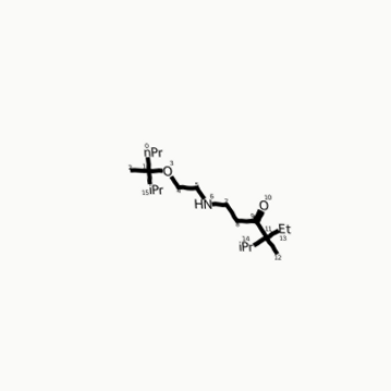 CCCC(C)(OCCNCCC(=O)C(C)(CC)C(C)C)C(C)C